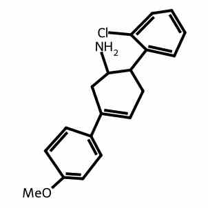 COc1ccc(C2=CCC(c3ccccc3Cl)C(N)C2)cc1